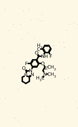 Cc1cccc(F)c1NC(=O)c1cc(F)c(-n2nc3n(c2=O)CCCC3)cc1O[C@H](C)CN(C)C